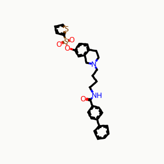 O=C(NCCCCN1CCc2ccc(OS(=O)(=O)c3cccs3)cc2C1)c1ccc(-c2ccccc2)cc1